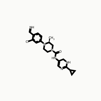 C[C@H]1CN(C(=O)NC2=CN=C(C3CC3)NC2)CCN1c1ccc(C=N)c(Cl)c1